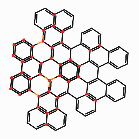 c1ccc(-c2c(P(c3ccccc3)c3ccccc3)c(-c3c(P(c4ccccc4)c4ccccc4)ccc4ccccc34)c3cccc(-c4ccc5ccccc5c4-c4c(-c5cccc6c(-c7c(P(c8ccccc8)c8ccccc8)ccc8ccccc78)c(P(c7ccccc7)c7ccccc7)c(-c7ccccc7)c(-c7ccccc7)c56)ccc5ccccc45)c3c2-c2ccccc2)cc1